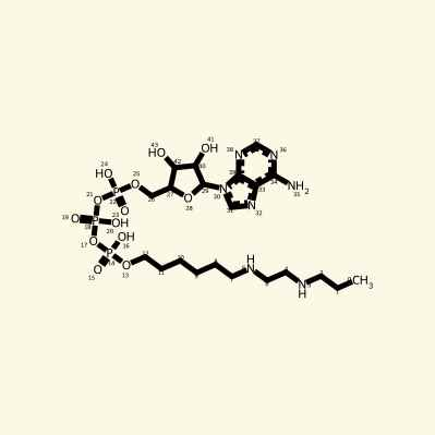 CCCNCCNCCCCCCOP(=O)(O)OP(=O)(O)OP(=O)(O)OCC1OC(n2cnc3c(N)ncnc32)C(O)C1O